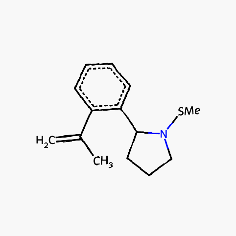 C=C(C)c1ccccc1C1CCCN1SC